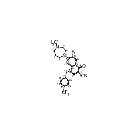 CN1CCCN(c2nc3c(cc2F)c(=O)c(C#N)cn3Cc2ccc(C(F)(F)F)cc2)CC1